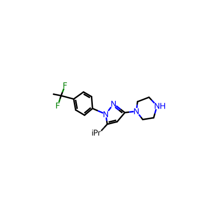 CC(C)c1cc(N2CCNCC2)nn1-c1ccc(C(C)(F)F)cc1